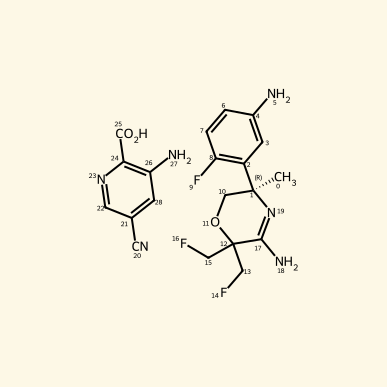 C[C@@]1(c2cc(N)ccc2F)COC(CF)(CF)C(N)=N1.N#Cc1cnc(C(=O)O)c(N)c1